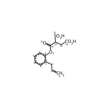 C=CCc1ccccc1OC(=O)C(CC(=O)O)S(=O)(=O)O